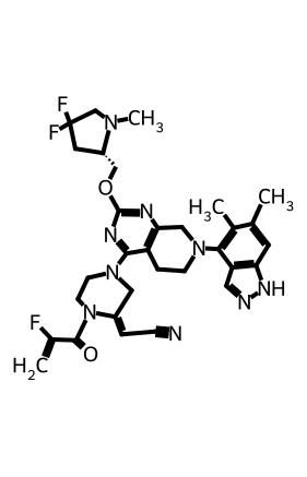 C=C(F)C(=O)N1CCN(c2nc(OC[C@@H]3CC(F)(F)CN3C)nc3c2CCN(c2c(C)c(C)cc4[nH]ncc24)C3)CC1=CC#N